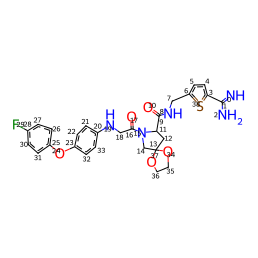 N=C(N)c1ccc(CNC(=O)C2CC3(CN2C(=O)CNc2ccc(Oc4ccc(F)cc4)cc2)OCCO3)s1